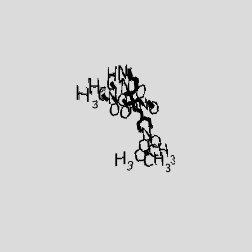 CCN(CC)C(=O)OC(=O)C(CCC1CCN(C(=O)OC(C)(C)C)CC1)(C(=O)NC=O)C1=CN2CNC=C2C=C1